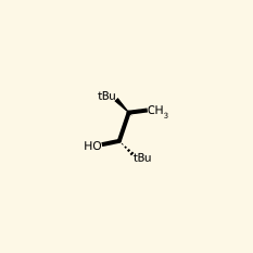 C[C@@H]([C@@H](O)C(C)(C)C)C(C)(C)C